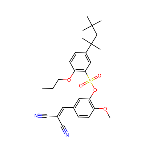 CCCOc1ccc(C(C)(C)CC(C)(C)C)cc1S(=O)(=O)Oc1cc(C=C(C#N)C#N)ccc1OC